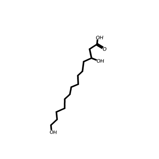 O=C(O)CC(O)CCCCCCCCCCCO